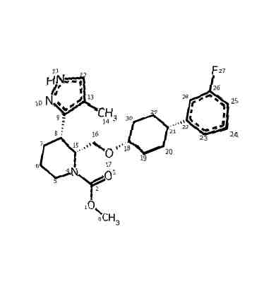 COC(=O)N1CCC[C@H](c2n[nH]cc2C)[C@@H]1CO[C@H]1CC[C@@H](c2cccc(F)c2)CC1